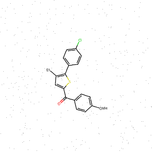 [CH2]Cc1cc(C(=O)c2ccc(OC)cc2)sc1-c1ccc(Cl)cc1